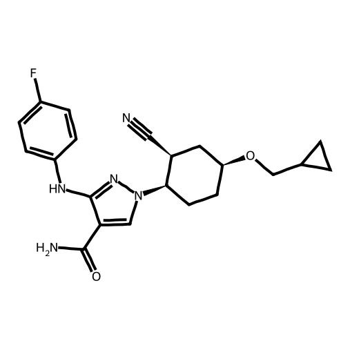 N#C[C@H]1C[C@@H](OCC2CC2)CC[C@H]1n1cc(C(N)=O)c(Nc2ccc(F)cc2)n1